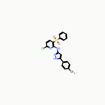 O=S(=O)(c1ccccc1)c1ccc(Cl)nc1Nc1cc(-c2ccc(C(F)(F)F)cc2)[nH]n1